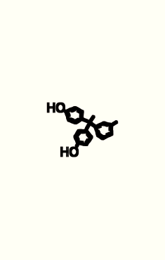 Cc1cccc(C(C)(c2ccc(O)cc2)c2ccc(O)cc2)c1